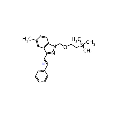 Cc1ccc2c(c1)c(/C=C/c1ccccc1)nn2COCC[Si](C)(C)C